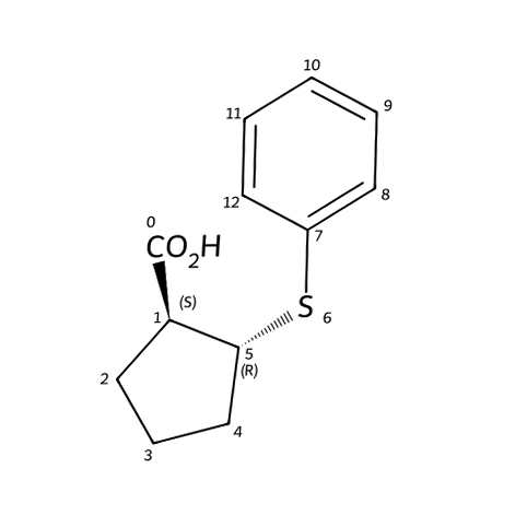 O=C(O)[C@@H]1CCC[C@H]1Sc1ccccc1